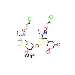 CCC(=NOC/C=C/Cl)C(C)(CC1CC(=O)C=C([O-])C1)SC.CCC(=NOC/C=C/Cl)C(C)(CC1CC(=O)C=C([O-])C1)SC.[Mg+2]